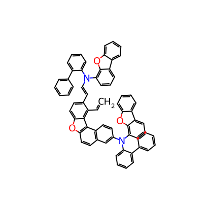 C=Cc1c(/C=C/N(c2ccccc2-c2ccccc2)c2cccc3c2oc2ccccc23)ccc2oc3ccc4cc(N(c5ccccc5-c5ccccc5)c5cccc6c5oc5ccccc56)ccc4c3c12